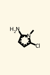 Cn1c(N)ccc1Cl